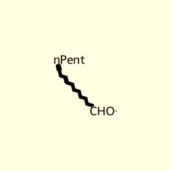 CCCCCC#CC/C=C/CCCCCCC[C]=O